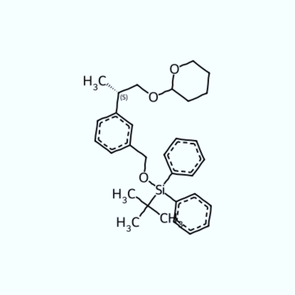 C[C@H](COC1CCCCO1)c1cccc(CO[Si](c2ccccc2)(c2ccccc2)C(C)(C)C)c1